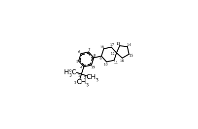 CC(C)(C)c1cccc(C2CCC3(CCCC3)CC2)c1